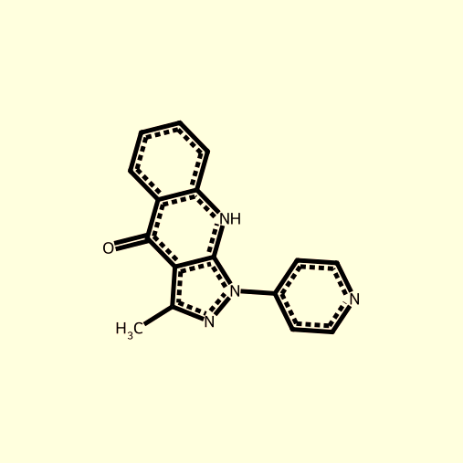 Cc1nn(-c2ccncc2)c2[nH]c3ccccc3c(=O)c12